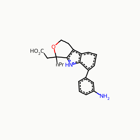 CCCC1(CC(=O)O)OCCc2c1[nH]c1c(-c3cccc(N)c3)cccc21